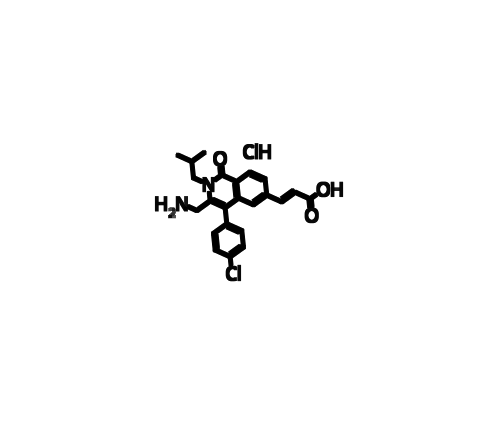 CC(C)Cn1c(CN)c(-c2ccc(Cl)cc2)c2cc(/C=C/C(=O)O)ccc2c1=O.Cl